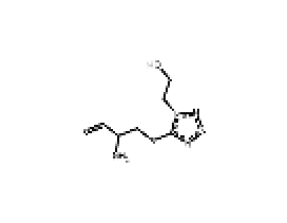 NC(C=S)CSc1nnnn1CCO